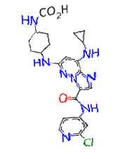 O=C(O)NC1CCC(Nc2cc(NC3CC3)c3ncc(C(=O)Nc4ccnc(Cl)c4)n3n2)CC1